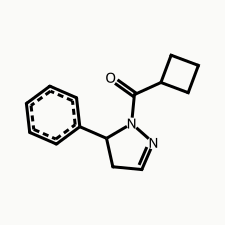 O=C(C1CCC1)N1N=CCC1c1ccccc1